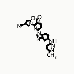 Cc1ccc(Nc2ccc3c(c2)ncn3-c2ccc(C=O)c(N3CC(C#N)CC3C)n2)nn1